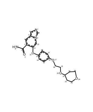 NC(=O)c1cc2cncn2cc1Oc1ccc(OCCOC2CCOCC2)cc1